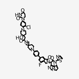 O=C1CCN(c2ccc(N3CCC(O)(CC(=O)N4CC5(CCN(c6ccc(-c7cc(F)c8c(c7)C(=O)N(C(C(=O)Nc7nccs7)c7ncn9c7CCC9)C8)cc6)CC5)C4)CC3)c(Cl)c2)C(=O)N1